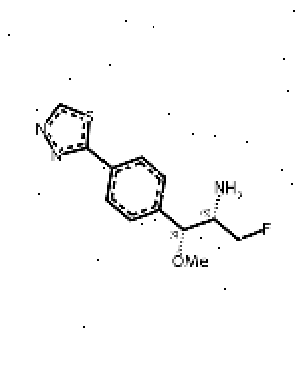 CO[C@H](c1ccc(-c2nncs2)cc1)[C@H](N)CF